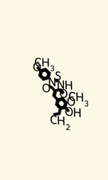 C=CCc1cc(/C=C2\C(=O)NC(=S)N(c3ccc(OC)cc3)C2=O)cc(OC)c1O